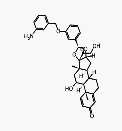 C[C@]12C=CC(=O)C=C1CC[C@@H]1[C@@H]2[C@@H](O)C[C@@]2(C)[C@H]1C[C@H]1O[C@H](c3cccc(OCc4cccc(N)c4)c3)O[C@]12C(=O)CO